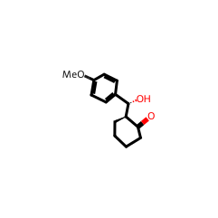 COc1ccc([C@H](O)[C@@H]2CCCCC2=O)cc1